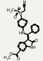 COC(=O)c1ccc2c(c1)NC(=O)C2=C(Nc1ccc(N(CC#N)S(C)(=O)=O)cc1)c1ccccc1